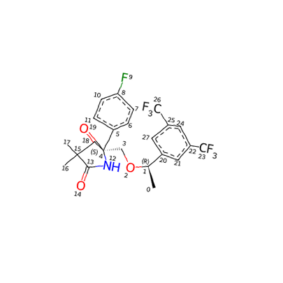 C[C@@H](OC[C@]1(c2ccc(F)cc2)NC(=O)C(C)(C)C1=O)c1cc(C(F)(F)F)cc(C(F)(F)F)c1